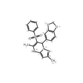 CC1=C(S(=O)(=O)c2ccccc2)C(c2ccc3c(c2)OCO3)n2nc(C)cc2N1